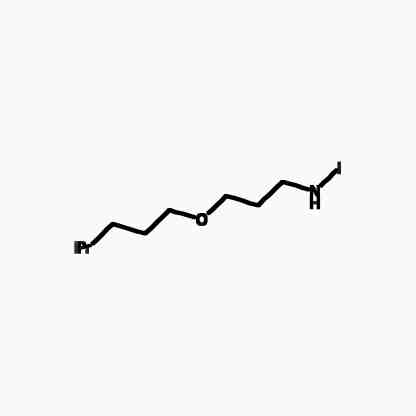 CC(C)CCCOCCCNI